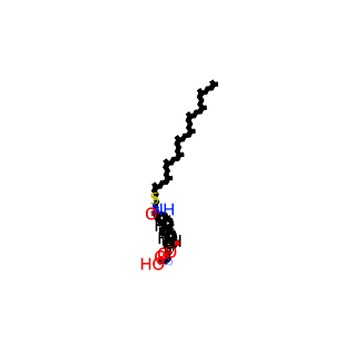 CC(C)=CCCC(C)=CCCC(C)=CCCC(C)=CCCC(C)=CCCC(C)=CCCC(C)=CCCC(C)=CCCC(C)=CCCC(C)=CCSCCNC(=O)C1(C)CC[C@]2(C)CC[C@]3(C)C(=CC[C@@H]4[C@@]5(C)CC[C@H](OC(=O)/C=C\C(=O)O)C(C)(C)[C@H]5CC[C@]43C)[C@@H]2C1